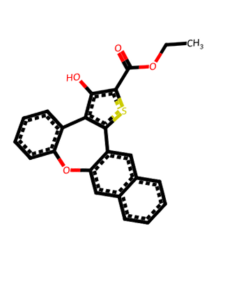 CCOC(=O)c1sc2c(c1O)-c1ccccc1Oc1cc3ccccc3cc1-2